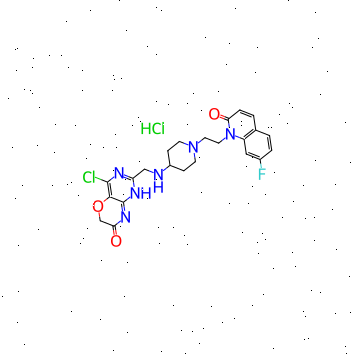 Cl.O=C1COC2=C(Cl)N=C(CNC3CCN(CCn4c(=O)ccc5ccc(F)cc54)CC3)NC2=N1